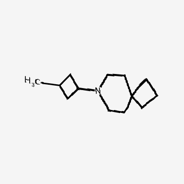 CC1CC(N2CCC3(CCC3)CC2)C1